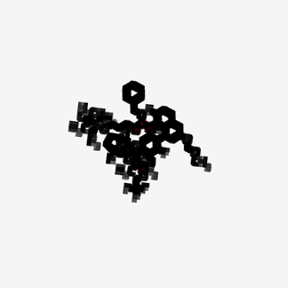 COCOc1cc(-c2c(NC(=O)OCc3ccccc3)cc3c(N4C[C@H]5CC[C@@H](C4)N5C(=O)OC(C)(C)C)nc(OCC(F)(F)F)nc3c2F)c2c(CCCCCCO[Si](C)(C)C(C)(C)C)c(F)ccc2c1